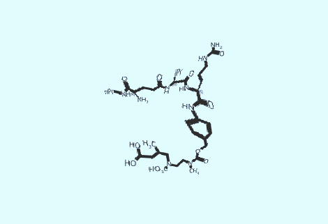 CCCNC(=O)[C@H](N)CCC(=O)N[C@H](C(=O)N[C@@H](CCCNC(N)=O)C(=O)Nc1ccc(COC(=O)N(C)CCN(CC(C)CC(O)O)C(=O)O)cc1)C(C)C